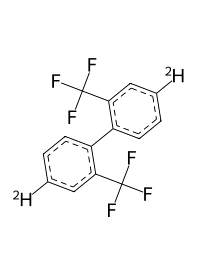 [2H]c1ccc(-c2ccc([2H])cc2C(F)(F)F)c(C(F)(F)F)c1